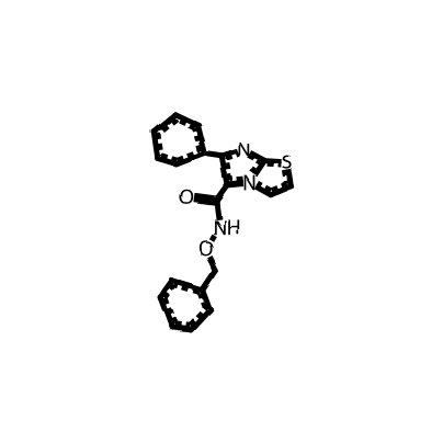 O=C(NOCc1ccccc1)c1c(-c2ccccc2)nc2sccn12